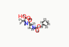 CC(C)[C@@H](C(=O)O)N(C)C(=O)[C@H]1CCN(C(=O)OCc2ccccc2)C1